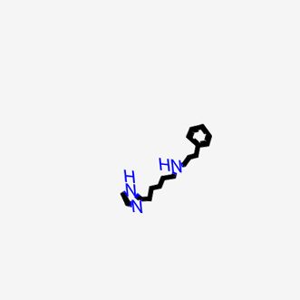 c1ccc(CCCNCCCCCc2ncc[nH]2)cc1